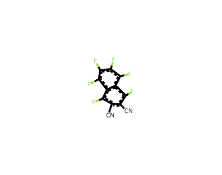 N#Cc1c(C#N)c(F)c2c(F)c(F)c(F)c(F)c2c1F